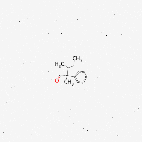 CCC(C)C(C)(C=O)c1ccccc1